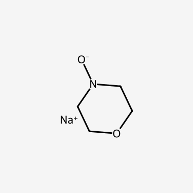 [Na+].[O-]N1CCOCC1